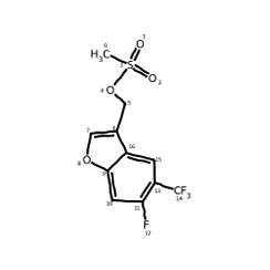 CS(=O)(=O)OCc1coc2cc(F)c(C(F)(F)F)cc12